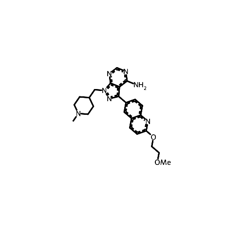 COCCOc1ccc2cc(-c3nn(CC4CCN(C)CC4)c4ncnc(N)c34)ccc2n1